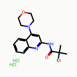 CCC(C)(C)C(=O)Nc1cc(N2CCOCC2)c2ccccc2n1.Cl.Cl